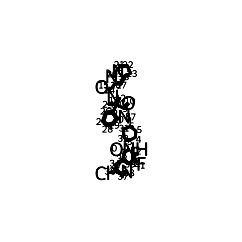 O=C(N[C@H]1CC[C@H](CN2C(=O)C3(CN(C(=O)c4cc5n(n4)CCC5)C3)c3ccccc32)CC1)c1cc(Cl)cnc1C(F)F